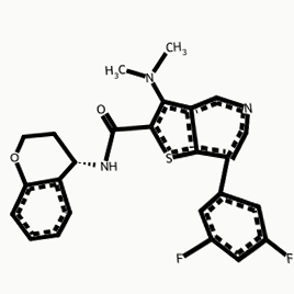 CN(C)c1c(C(=O)N[C@H]2CCOc3ccccc32)sc2c(-c3cc(F)cc(F)c3)cncc12